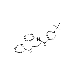 CC(C)(C)c1ccc(SC(C=CSc2ccccc2)=Nc2ccccc2)cc1